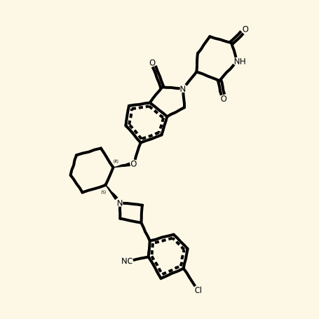 N#Cc1cc(Cl)ccc1C1CN([C@H]2CCCC[C@H]2Oc2ccc3c(c2)CN(C2CCC(=O)NC2=O)C3=O)C1